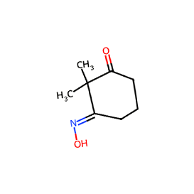 CC1(C)C(=O)CCCC1=NO